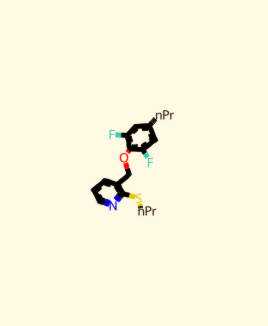 CCCSc1ncccc1COc1c(F)cc(CCC)cc1F